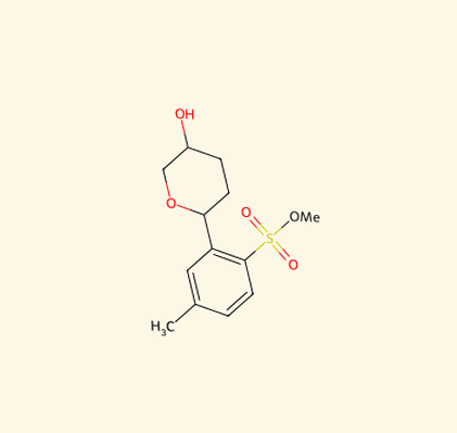 COS(=O)(=O)c1ccc(C)cc1C1CCC(O)CO1